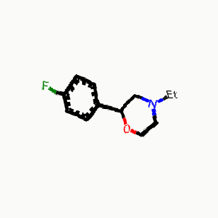 CCN1CCOC(c2ccc(F)cc2)C1